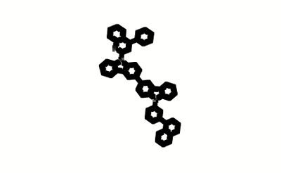 c1ccc(-c2cc(-n3c4ccccc4c4cc(-c5ccc6c(c5)c5ccccc5n6-c5cccc(-c6cccc7ccccc67)c5)ccc43)nc3ccccc23)cc1